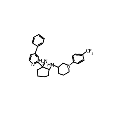 NC1(c2cc(-c3ccccc3)ccn2)CCCCC1NC1CCCN(c2ccc(C(F)(F)F)cc2)C1